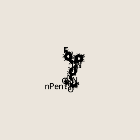 CCCCCC(=O)n1c(N(C)C2CCN(c3nc4ccccc4n3Cc3ccc(F)cc3)CC2)nccc1=O